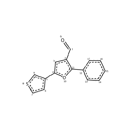 O=Cc1cc(-c2ccsc2)oc1-c1ccccc1